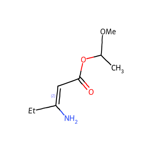 CC/C(N)=C/C(=O)OC(C)OC